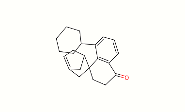 O=C1CCC2(CC3=CCC2C3)c2c1cccc2C1CCCCC1